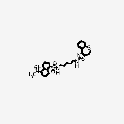 CN(C)c1cccc2c(S(=O)(=O)NCCCCCNc3nc4c(s3)CCSc3ccccc3-4)cccc12